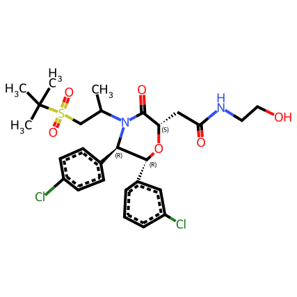 CC(CS(=O)(=O)C(C)(C)C)N1C(=O)[C@H](CC(=O)NCCO)O[C@H](c2cccc(Cl)c2)[C@H]1c1ccc(Cl)cc1